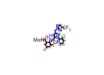 CNC(=O)c1cc(I)cc(C)c1NC(=O)c1cc(Cn2ncc(C(F)(F)F)n2)nn1-c1ncccc1Cl